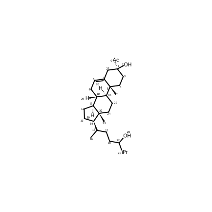 CC(=O)[C@]1(O)CC[C@@]2(C)C(=CC[C@H]3[C@@H]4CC[C@H](C(C)CCC(O)C(C)C)[C@@]4(C)CC[C@@H]32)C1